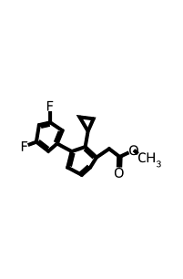 COC(=O)Cc1cccc(-c2cc(F)cc(F)c2)c1C1CC1